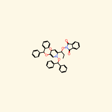 CCC(ON1C(=O)c2ccccc2C1=O)c1cc(=O)c(OC(c2ccccc2)c2ccccc2)cn1OC(c1ccccc1)c1ccccc1